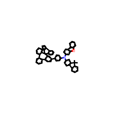 CC1(C)c2ccccc2-c2ccc(N(c3ccc(-c4ccc5c(c4)C4(c6ccccc6-c6ccccc6-5)c5ccccc5-c5ccccc54)cc3)c3ccc4c(c3)oc3ccccc34)cc21